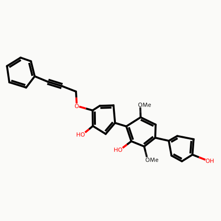 COc1cc(-c2ccc(O)cc2)c(OC)c(O)c1-c1ccc(OCC#Cc2ccccc2)c(O)c1